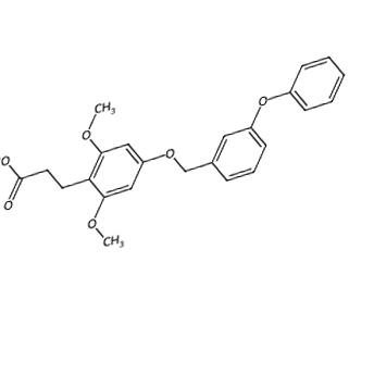 COc1cc(OCc2cccc(Oc3ccccc3)c2)cc(OC)c1CCC(=O)O